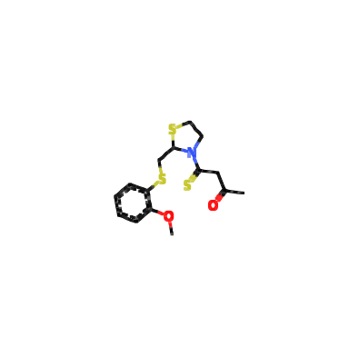 COc1ccccc1SCC1SCCN1C(=S)CC(C)=O